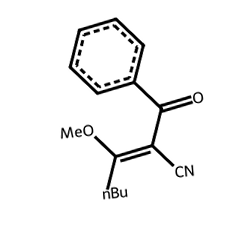 CCCCC(OC)=C(C#N)C(=O)c1ccccc1